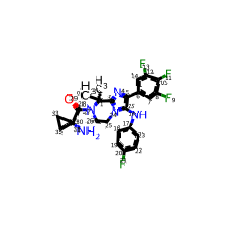 CC1(C)c2nc(-c3cc(F)c(F)c(F)c3)c(Nc3ccc(F)cc3)n2CCN1C(=O)C1(N)CC1